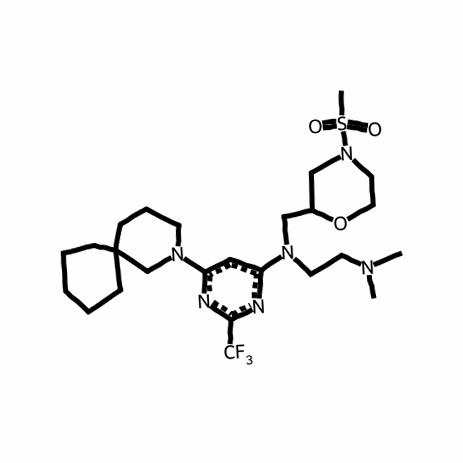 CN(C)CCN(CC1CN(S(C)(=O)=O)CCO1)c1cc(N2CCCC3(CCCCC3)C2)nc(C(F)(F)F)n1